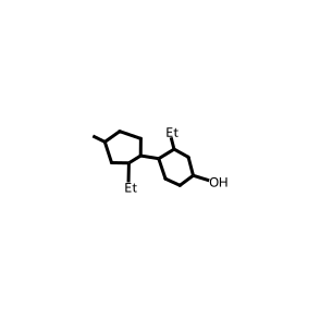 CCC1CC(C)CCC1C1CCC(O)CC1CC